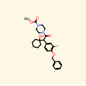 CC(C)(C)OC(=O)N1CCN(C(=O)C(c2ccc(OCc3ccccc3)c(F)c2)C2(O)CCCCC2)CC1